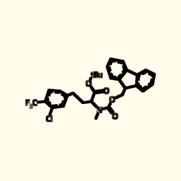 CN(C(=O)OCC1c2ccccc2-c2ccccc21)C(CCc1ccc(C(F)(F)F)c(Cl)c1)C(=O)OC(C)(C)C